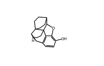 Oc1ccc2c3c1OC1C4CCC5(CC4)C(C2)NCCC315